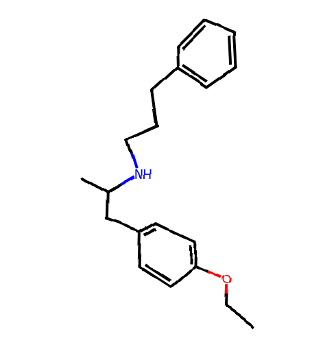 CCOc1ccc(CC(C)NCCCc2ccccc2)cc1